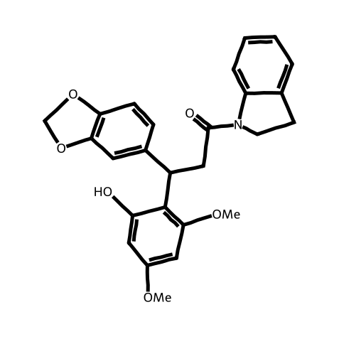 COc1cc(O)c(C(CC(=O)N2CCc3ccccc32)c2ccc3c(c2)OCO3)c(OC)c1